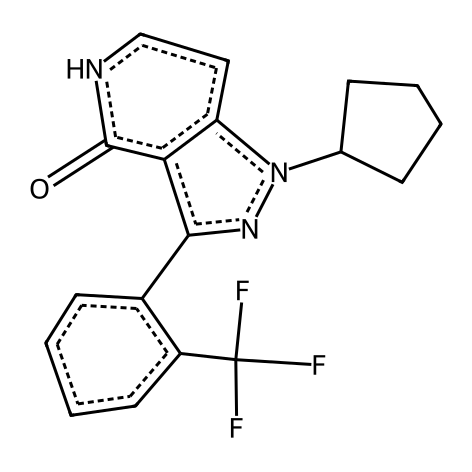 O=c1[nH]ccc2c1c(-c1ccccc1C(F)(F)F)nn2C1CCCC1